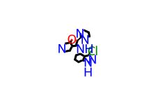 Clc1n[nH]c2cccc(Nc3c(-c4ncccn4)oc4cnccc34)c12